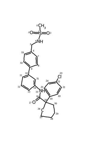 CS(=O)(=O)NCc1ccc(-c2cccc(NC(=O)C3(c4ccc(Cl)cc4)CCCCC3)c2)cc1